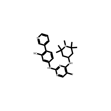 CN1C(C)(C)CC(Nc2nc(Nc3ccc(-c4cccnc4)c(C#N)c3)ncc2F)CC1(C)C